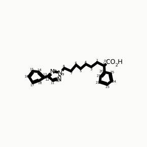 O=C(O)C(CCCCCCCn1ncc(-c2ccccc2)n1)c1ccccc1